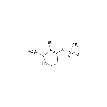 CC(C)(C)C1=C(OS(=O)(=O)C(F)(F)F)CCNC1C(=O)O